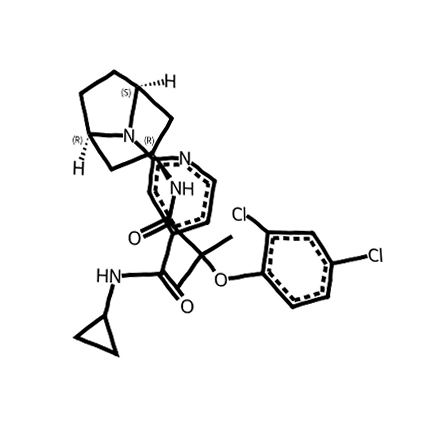 CC(C)(Oc1ccc(Cl)cc1Cl)C(=O)N[C@H]1C[C@H]2CC[C@@H](C1)N2c1cc(C(=O)NC2CC2)ccn1